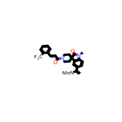 C=C(NC)c1ccc2c(c1)C1(CCN(C(=O)/C=C/c3ccccc3C(F)(F)F)CC1)C(=O)N2C